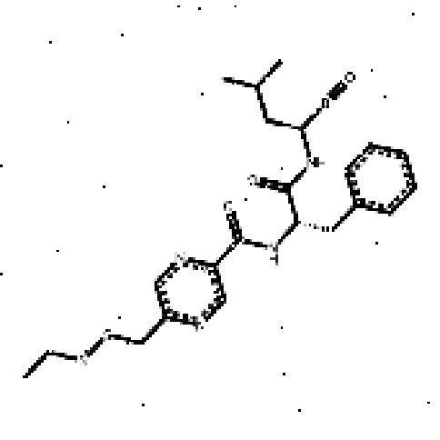 CCSSCc1cnc(C(=O)N[C@@H](Cc2ccccc2)C(=O)N[C@H](B=O)CC(C)C)cn1